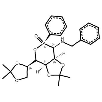 CC1(C)OC[C@H](C2O[P@@](=O)(c3ccccc3)[C@H](NCc3ccccc3)[C@H]3OC(C)(C)O[C@@H]23)O1